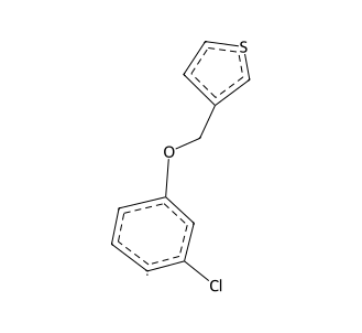 Clc1[c]ccc(OCc2ccsc2)c1